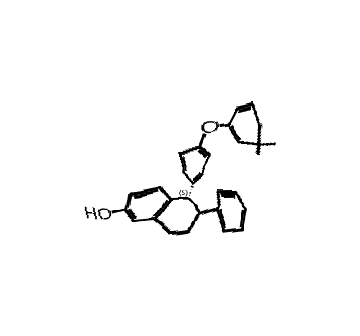 CC1(C)C=C(Oc2ccc([C@H]3c4ccc(O)cc4CCC3c3ccccc3)cc2)C=CC1